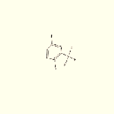 Cc1ccc(I)cc1C(F)(F)F